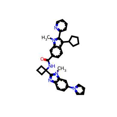 Cn1c(C2(NC(=O)c3ccc4c(C5CCCC5)c(-c5ccccn5)n(C)c4c3)CCC2)nc2ccc(-n3cccc3)cc21